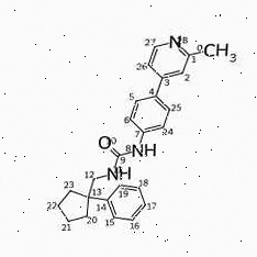 Cc1cc(-c2ccc(NC(=O)NCC3(c4ccccc4)CCCC3)cc2)ccn1